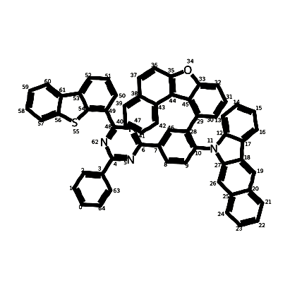 c1ccc(-c2nc(-c3ccc(-n4c5ccccc5c5cc6ccccc6cc54)c(-c4cccc5oc6ccc7ccccc7c6c45)c3)nc(-c3cccc4c3sc3ccccc34)n2)cc1